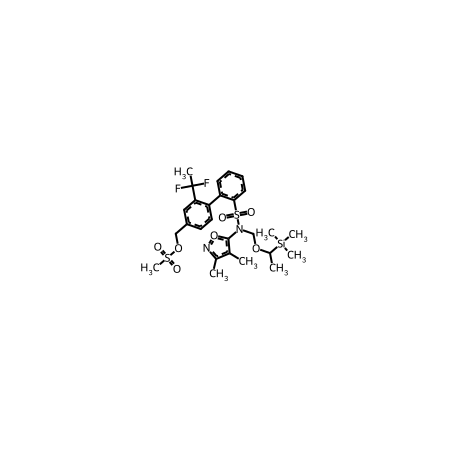 Cc1noc(N(COC(C)[Si](C)(C)C)S(=O)(=O)c2ccccc2-c2ccc(COS(C)(=O)=O)cc2C(C)(F)F)c1C